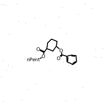 CCCCCOC(=O)C1CCCC(OC(=O)c2ccccc2)C1